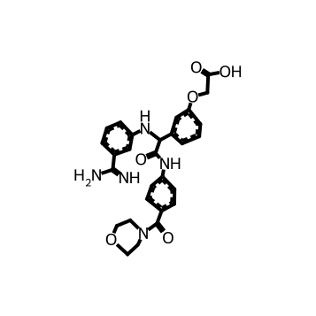 N=C(N)c1cccc(NC(C(=O)Nc2ccc(C(=O)N3CCOCC3)cc2)c2cccc(OCC(=O)O)c2)c1